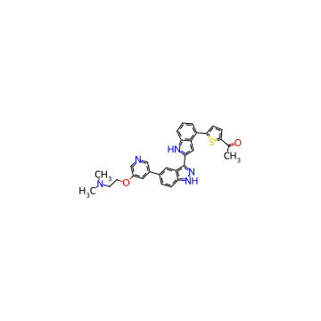 CC(=O)c1ccc(-c2cccc3[nH]c(-c4n[nH]c5ccc(-c6cncc(OCCN(C)C)c6)cc45)cc23)s1